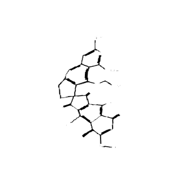 CCCCCc1cc2cc3c(c(OCOC)c2c(OC)n1)C1(CC3)C(=O)c2c(O)c3c(c(O)c2C1=O)C(=O)C(NCC)=CC3=O